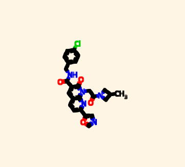 CC1CN(C(=O)Cn2c(=O)c(C(=O)NCc3ccc(Cl)cc3)cc3ccc(-c4cnco4)nc32)C1